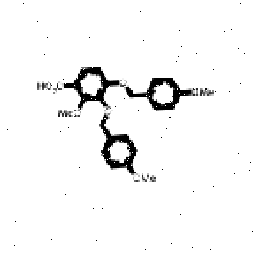 COc1ccc(COc2ccc(C(=O)O)c(OC)c2OCc2ccc(OC)cc2)cc1